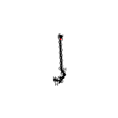 CCCN(CCCNC(=O)OC(C)(C)C)C(=O)C1=Cc2ccc(-c3cccc(S(=O)(=O)N4CC(CNC(=O)CCOCCOCCOCCOCCOCCOCCOCCOCCOCCOCCC(=O)Oc5c(F)c(F)cc(F)c5F)C4)c3)cc2N=C(N)C1